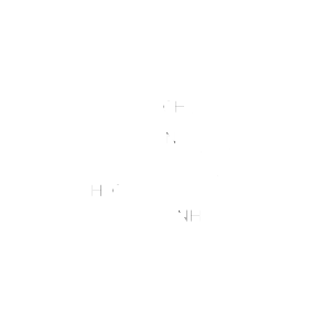 CN(CC1(C)CNC1)C1CC1